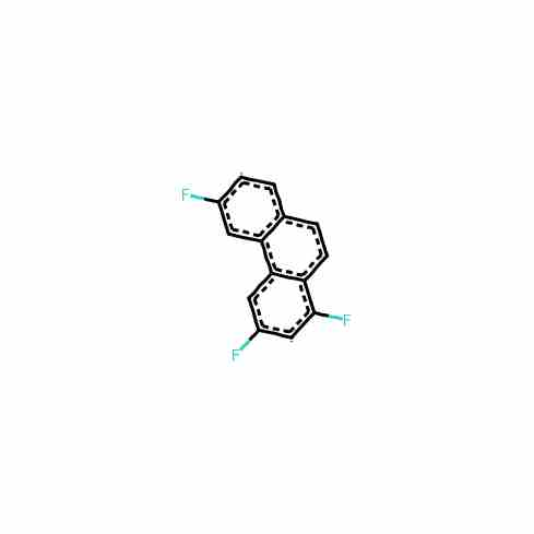 Fc1[c]cc2ccc3c(F)[c]c(F)cc3c2c1